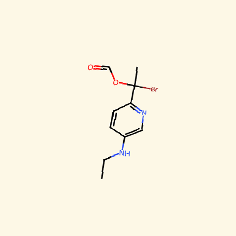 CCNc1ccc(C(C)(Br)OC=O)nc1